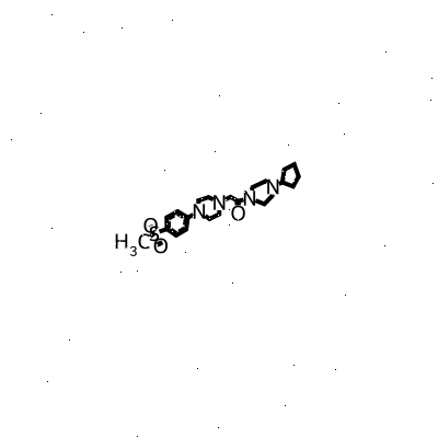 CS(=O)(=O)c1ccc(N2CCN(CC(=O)N3CCN(C4CCCC4)CC3)CC2)cc1